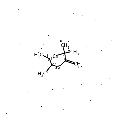 C=C(SC(C)CC)C(C)(C)C